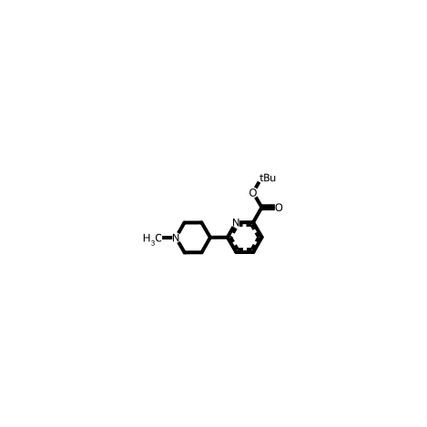 CN1CCC(c2cccc(C(=O)OC(C)(C)C)n2)CC1